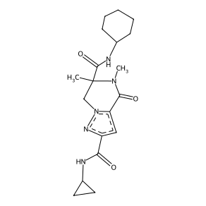 CN1C(=O)c2cc(C(=O)NC3CC3)nn2CC1(C)C(=O)NC1CCCCC1